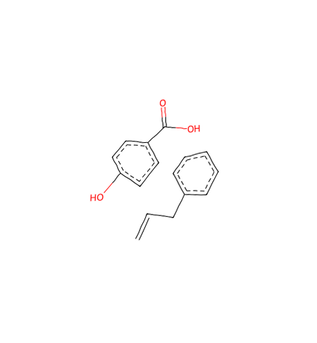 C=CCc1ccccc1.O=C(O)c1ccc(O)cc1